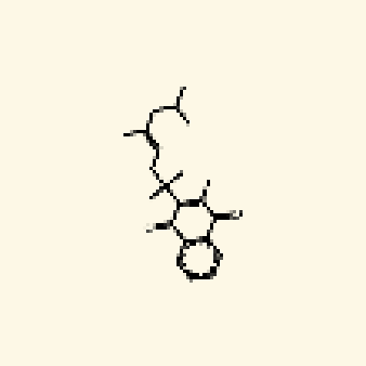 CC1=C(C(C)(C)C/C=C(\C)CC(C)C)C(=O)c2ccccc2C1=O